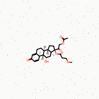 COCCC(=O)O[C@]1(C(=O)COC(C)=O)CC[C@H]2[C@@H]3CCC4=CC(=O)C=C[C@]4(C)[C@H]3[C@@H](O)C[C@@]21C